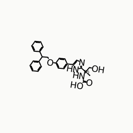 C[C@@](CO)(NC(=O)O)c1ncc(-c2ccc(OCC(c3ccccc3)c3ccccc3)cc2)[nH]1